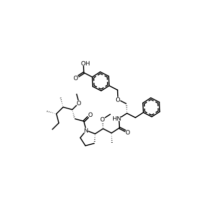 CC[C@H](C)[C@H](C)[C@@H](CC(=O)N1CCC[C@H]1[C@H](OC)[C@@H](C)C(=O)N[C@H](COCc1ccc(C(=O)O)cc1)Cc1ccccc1)OC